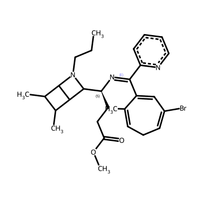 CCCN1C2C(C)C(C)C2C1[C@H](CCC(=O)OC)/N=C(\C1=CC(Br)=CCC=C1C)c1ccccn1